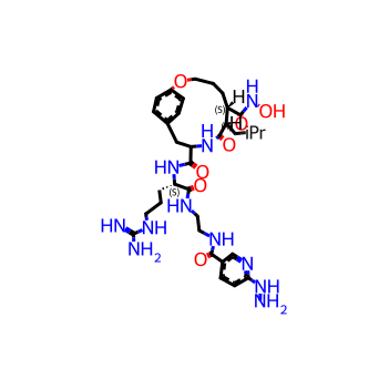 CC(C)C[C@H]1C(=O)NC(C(=O)N[C@@H](CCCNC(=N)N)C(=O)NCCNC(=O)c2ccc(NN)nc2)Cc2ccc(cc2)OCCC[C@@H]1C(=O)NO